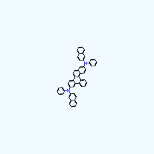 c1ccc(N(c2ccc3ccccc3c2)c2ccc3c(ccc4c5ccc(N(c6ccccc6)c6ccc7ccccc7c6)cc5c5ccccc5c34)c2)cc1